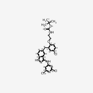 CC(C)(C)OC(=O)NCCOc1ccc(Cl)cc1Cc1ccc2[nH]nc(Nc3cc(Cl)nc(Cl)n3)c2c1